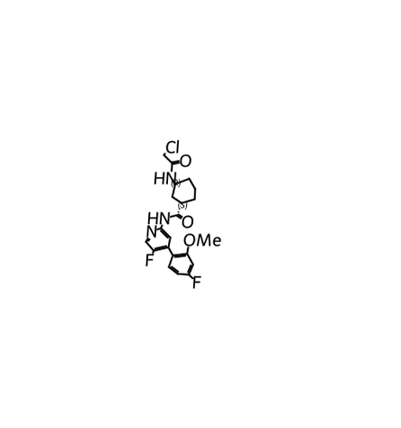 COc1cc(F)ccc1-c1cc(NC(=O)[C@H]2CCC[C@@H](NC(=O)CCl)C2)ncc1F